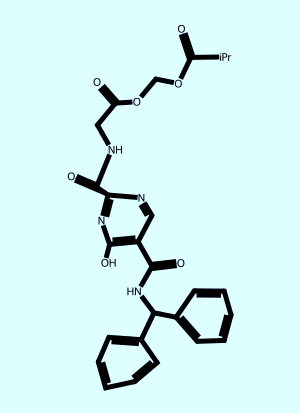 CC(C)C(=O)OCOC(=O)CNC(=O)c1ncc(C(=O)NC(c2ccccc2)c2ccccc2)c(O)n1